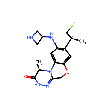 C[C@H](CF)c1cc2c(cc1NC1CNC1)N1C(=NNC(=O)[C@H]1C)CO2